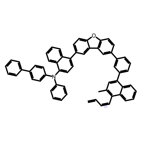 C=C/C=C\c1c(C)cc(-c2cccc(-c3ccc4oc5ccc(-c6ccc(N(c7ccccc7)c7ccc(-c8ccccc8)cc7)c7ccccc67)cc5c4c3)c2)c2ccccc12